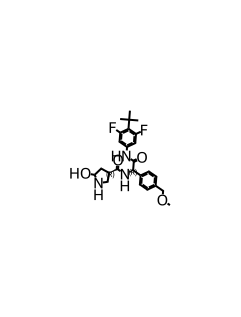 COCc1ccc([C@@H](NC(=O)[C@H]2CNC(O)C2)C(=O)Nc2cc(F)c(C(C)(C)C)c(F)c2)cc1